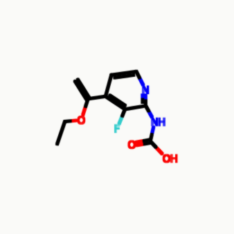 C=C(OCC)c1ccnc(NC(=O)O)c1F